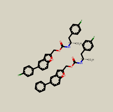 O=C(N[C@H](Cc1ccc(F)cc1)C(=O)O)OCc1cc2cc(-c3ccc(F)cc3)ccc2o1.O=C(N[C@H](Cc1ccc(F)cc1)C(=O)O)OCc1cc2cc(-c3ccccc3)ccc2o1